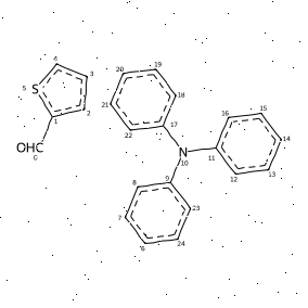 O=Cc1cccs1.c1ccc(N(c2ccccc2)c2ccccc2)cc1